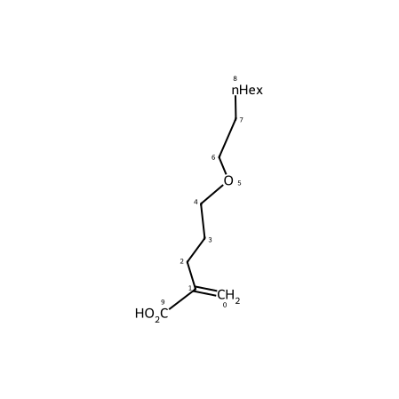 C=C(CCCOCCCCCCCC)C(=O)O